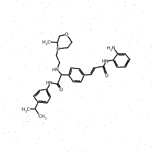 CC(C)c1ccc(NC(=O)C(NCCN2CCOCC2C)c2ccc(/C=C/C(=O)Nc3ccccc3N)cc2)cc1